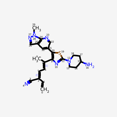 C=C/C(C#N)=C\C=C(/C)c1nc(N2CCC(N)CC2)sc1-c1cnc2c(cnn2C)c1